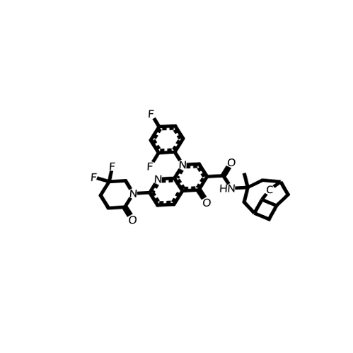 CC1(NC(=O)c2cn(-c3ccc(F)cc3F)c3nc(N4CC(F)(F)CCC4=O)ccc3c2=O)CC2CC3CC(C1)C3C2